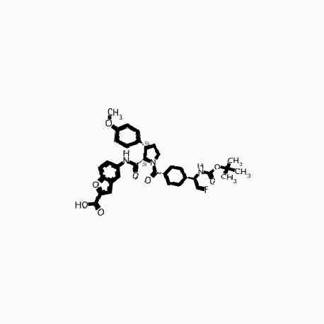 COC1CCC([C@@H]2CCN(C(=O)[C@H]3CC[C@H](C(CF)NC(=O)OC(C)(C)C)CC3)[C@@H]2C(=O)Nc2ccc3oc(C(=O)O)cc3c2)CC1